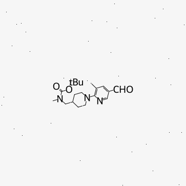 Cc1cc(C=O)cnc1N1CCC(CN(C)C(=O)OC(C)(C)C)CC1